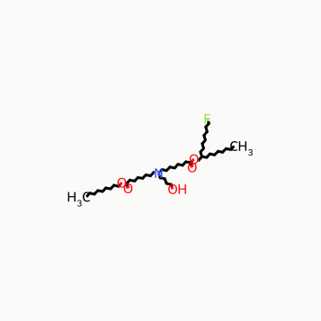 CCCCCCCCCOC(=O)CCCCCCCN(CCCCO)CCCCCCCC(=O)OCC(CCCCCCCC)CCCCCCCCF